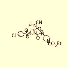 CCOC(=O)N1CCC(N2CCC2C(=O)N2C[C@H](S(=O)(=O)c3ccc(Cl)cc3)C[C@H]2C(=O)N(C#N)C2CC2)CC1